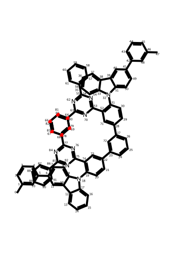 Cc1cccc(-c2ccc3c(c2)c2ccccc2n3-c2ccc(-c3cccc(-c4ccc(-n5c6ccccc6c6cc(-c7cccc(C)c7)ccc65)c(-c5nc(-c6ccccc6)nc(-c6ccccc6)n5)c4)c3)cc2-c2nc(-c3ccccc3)nc(-c3ccccc3)n2)c1